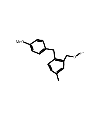 COc1ccc(Cc2ccc(C)cc2COC(C)C)cc1